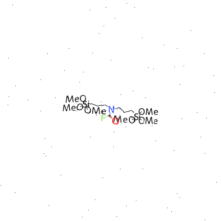 CO[Si](CCCN(CCC[Si](OC)(OC)OC)C(=O)F)(OC)OC